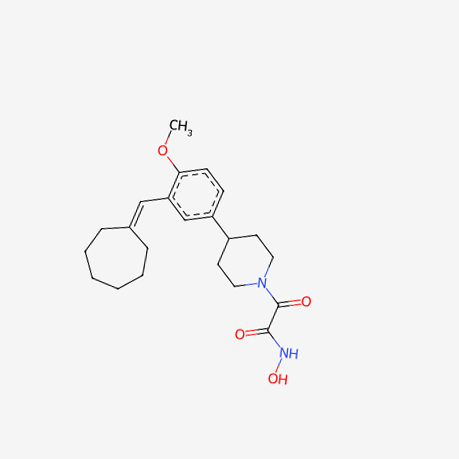 COc1ccc(C2CCN(C(=O)C(=O)NO)CC2)cc1C=C1CCCCCC1